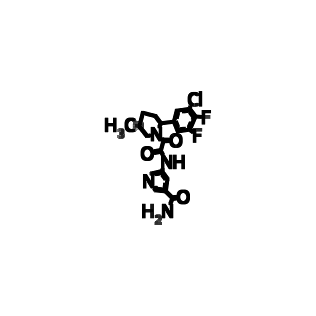 C[C@H]1CCC(c2cc(F)c(F)c(Cl)c2)N(C(=O)C(=O)Nc2cncc(C(N)=O)c2)C1